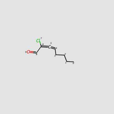 CCCCC=C=C(Cl)C=O